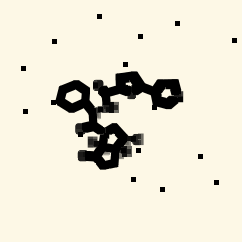 O=C(N[C@H](C(=O)N1C[C@H](Cl)[C@H]2CCC(=O)[C@H]21)C1CCCCC1)c1ccc(-c2ccncc2)s1